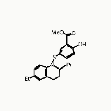 CCc1ccc2c(c1)CCC(C(C)C)N2Sc1ccc(O)c(C(=O)OC)c1